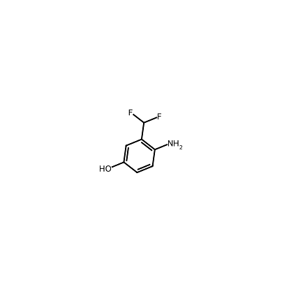 Nc1ccc(O)cc1C(F)F